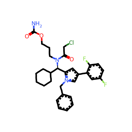 NC(=O)OCCCN(C(=O)CCl)[C@@H](c1cc(-c2cc(F)ccc2F)cn1Cc1ccccc1)C1CCCCC1